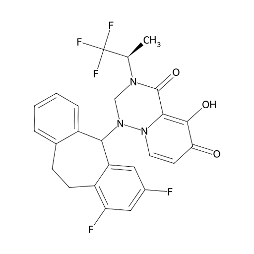 C[C@@H](N1CN(C2c3ccccc3CCc3c(F)cc(F)cc32)n2ccc(=O)c(O)c2C1=O)C(F)(F)F